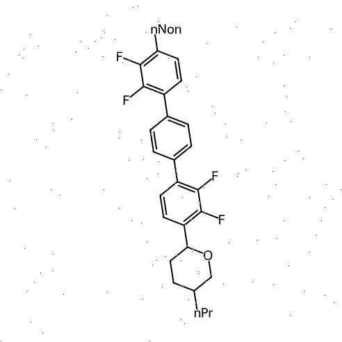 CCCCCCCCCc1ccc(-c2ccc(-c3ccc(C4CCC(CCC)CO4)c(F)c3F)cc2)c(F)c1F